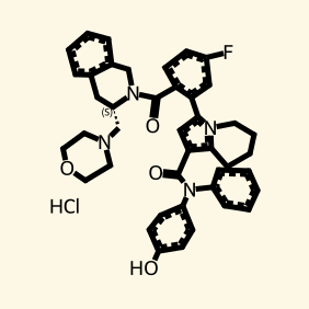 Cl.O=C(c1cc(-c2cc(F)ccc2C(=O)N2Cc3ccccc3C[C@H]2CN2CCOCC2)n2c1CCCC2)N(c1ccccc1)c1ccc(O)cc1